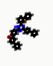 c1ccc(-c2ccc(C3=NC(c4cccc5c4sc4ccccc45)NC(c4ccc5oc6ccc(-c7ccccc7)cc6c5c4)N3)cc2)cc1